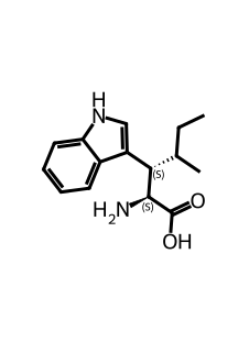 CCC(C)[C@@H](c1c[nH]c2ccccc12)[C@H](N)C(=O)O